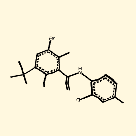 C=C(Nc1ccc(C)cc1Cl)c1c(C)c(Br)cc(C(C)(C)C)c1C